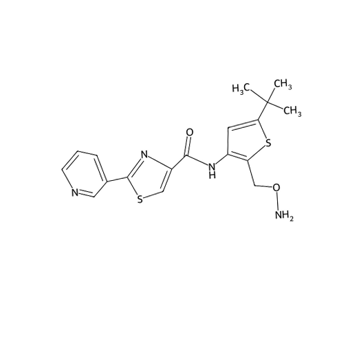 CC(C)(C)c1cc(NC(=O)c2csc(-c3cccnc3)n2)c(CON)s1